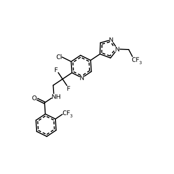 O=C(NCC(F)(F)c1ncc(-c2cnn(CC(F)(F)F)c2)cc1Cl)c1ccccc1C(F)(F)F